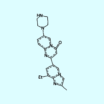 CCc1cc(-c2cc(=O)n3cc(N4CCNCC4)ccc3n2)cn2cc(C)nc12